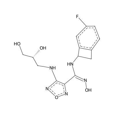 OC[C@H](O)CNc1nonc1/C(=N\O)NC1Cc2ccc(F)cc21